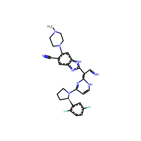 CN1CCN(c2cc3[nH]c(/C(C=N)=C4\N=C(N5CCC[C@@H]5c5cc(F)ccc5F)C=CN4)nc3cc2C#N)CC1